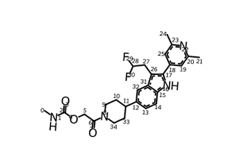 CNC(=O)OCC(=O)N1CCC(c2ccc3[nH]c(-c4cc(C)nc(C)c4)c(CC(F)F)c3c2)CC1